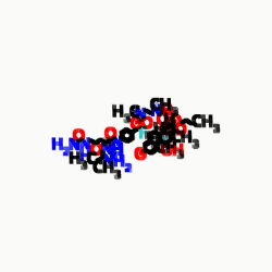 CCCC1O[C@@H]2C[C@H]3[C@@H]4C[C@H](F)C5=CC(=O)C=C[C@]5(C)[C@@]4(F)[C@@H](O)C[C@]3(C)[C@]2(C(=O)COC(=O)N(C)CCN(C)C(=O)OCc2ccc(NC(=O)[C@H](CCCNC(N)=O)NC(=O)C(N)C(C)C)cc2)O1